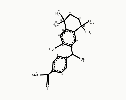 COC(=O)c1ccc(C(O)c2cc3c(cc2C)C(C)(C)CCC3(C)C)cc1